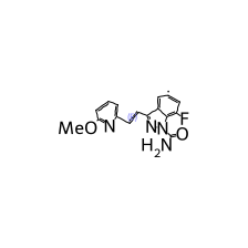 COc1cccc(/C=C/c2nn(C(N)=O)c3c(F)c[c]cc23)n1